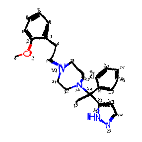 COc1ccccc1CCN1CCN(C(C)(c2ccccc2)c2ccn[nH]2)CC1